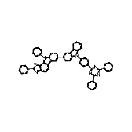 c1ccc(-c2nc(-c3ccccc3)nc(-c3ccc(-n4c5ccccc5c5cc(-c6ccc7c(c6)c6ccc8nc(-c9ccccc9)sc8c6n7-c6ccccc6)ccc54)cc3)n2)cc1